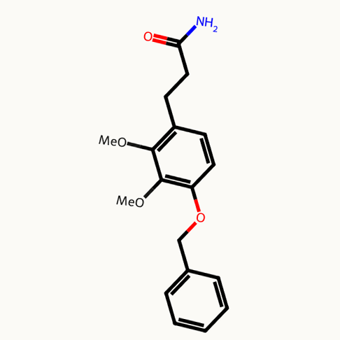 COc1c(CCC(N)=O)ccc(OCc2ccccc2)c1OC